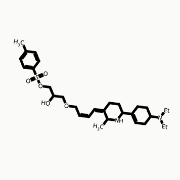 CCN(CC)C1CC=C(C2CC/C(=C/C=C\COCC(O)COS(=O)(=O)c3ccc(C)cc3)C(C)N2)CC1